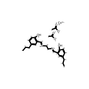 CC(=O)[O-].CC(=O)[O-].CCCc1ccc(O)c(C=NCCN=Cc2cc(CCC)ccc2O)c1.[Co+2]